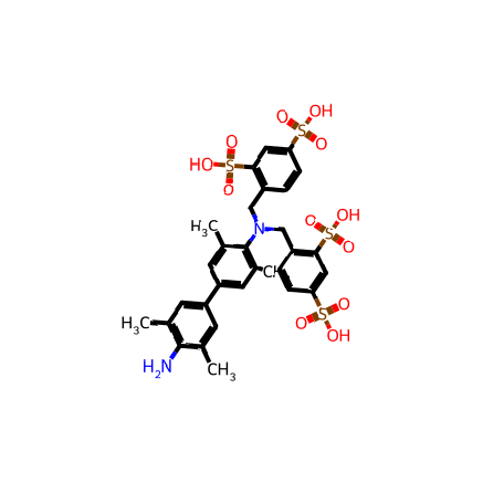 Cc1cc(-c2cc(C)c(N(Cc3ccc(S(=O)(=O)O)cc3S(=O)(=O)O)Cc3ccc(S(=O)(=O)O)cc3S(=O)(=O)O)c(C)c2)cc(C)c1N